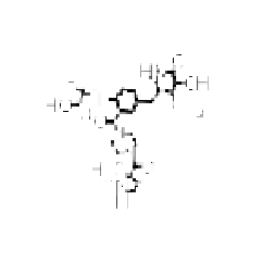 Cc1c(Cc2ccc(F)c(C(=O)N3CCN(C(=O)[C@@]4(C)CCN4)CC3)c2)n[nH]c(=O)c1C.O=C(O)C(F)(F)F